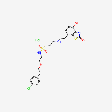 Cl.O=c1[nH]c2c(O)ccc(CCNCCCS(=O)(=O)NCCOCCc3ccc(Cl)cc3)c2s1